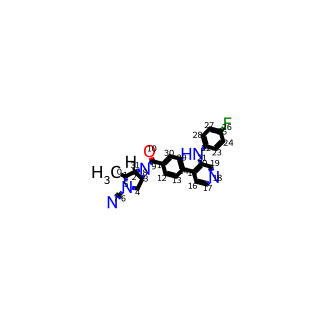 CC1[C@H]2C(CN1C#N)N2C(=O)c1ccc(-c2ccncc2Nc2ccc(F)cc2)cc1